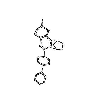 Cc1ccc2nc(-c3ccc(-c4ccccc4)cc3)c3c(c2c1)C1CCC3C1